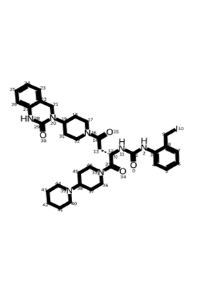 O=C(Nc1ccccc1CI)N[C@@H](CC(=O)N1CCC(N2Cc3ccccc3NC2=O)CC1)C(=O)N1CCC(N2CCCCC2)CC1